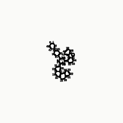 c1ccc(-c2ccc(-c3nc(-c4ccc5ccc6ccc7ccccc7c6c5c4)nc(-c4cccc5oc6ccccc6c45)n3)cc2)cc1